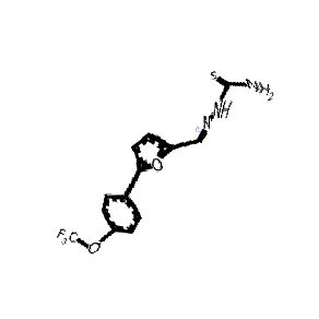 NC(=S)N/N=C/c1ccc(-c2ccc(OC(F)(F)F)cc2)o1